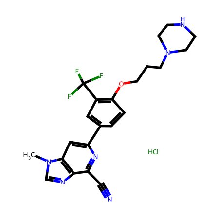 Cl.Cn1cnc2c(C#N)nc(-c3ccc(OCCCN4CCNCC4)c(C(F)(F)F)c3)cc21